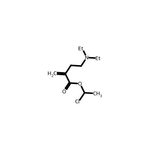 C=C(CCN(CC)CC)C(=O)OC(C)Cl